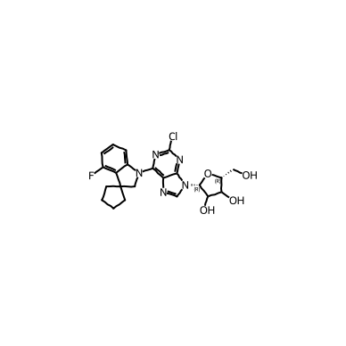 OC[C@H]1O[C@@H](n2cnc3c(N4CC5(CCCC5)c5c(F)cccc54)nc(Cl)nc32)C(O)C1O